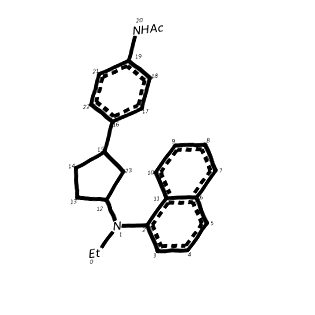 CCN(c1cccc2ccccc12)C1CCC(c2ccc(NC(C)=O)cc2)C1